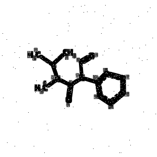 CC(C)N(C)C(=O)N(C=O)c1ccccc1